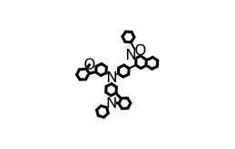 c1ccc(-c2nc3c(-c4ccc(N(c5ccc6oc7ccccc7c6c5)c5ccc6c(c5)c5ccccc5n6-c5ccccc5)cc4)cc4ccccc4c3o2)cc1